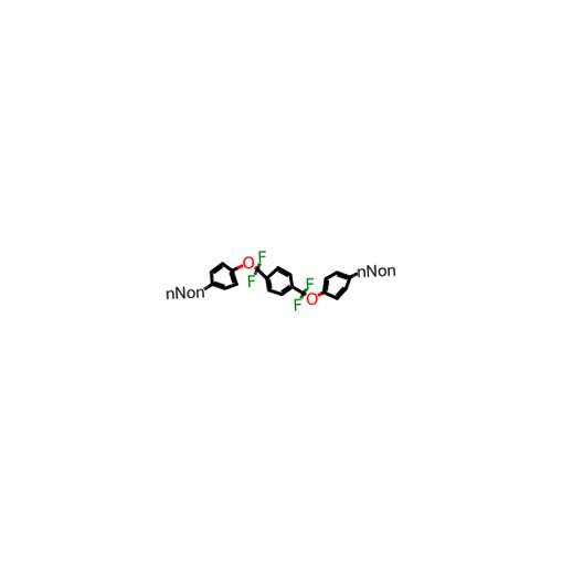 CCCCCCCCCc1ccc(OC(F)(F)c2ccc(C(F)(F)Oc3ccc(CCCCCCCCC)cc3)cc2)cc1